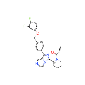 C=CC(=O)N1CCCC[C@H]1c1nc(-c2ccc(COc3ccc(F)c(F)c3)cc2)c2cnccn12